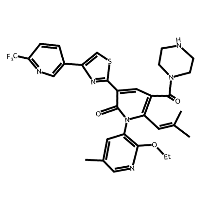 CCOc1ncc(C)cc1-n1c(C=C(C)C)c(C(=O)N2CCNCC2)cc(-c2nc(-c3ccc(C(F)(F)F)nc3)cs2)c1=O